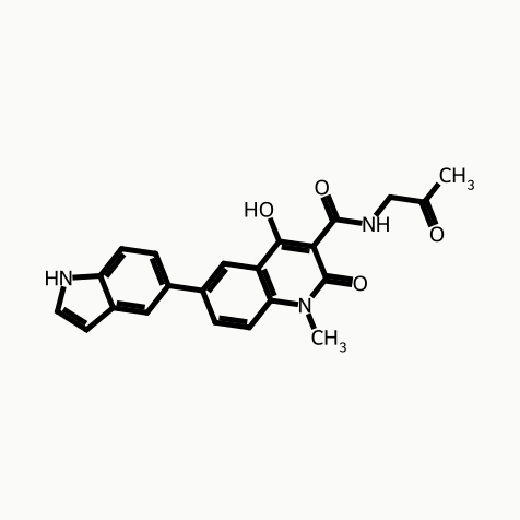 CC(=O)CNC(=O)c1c(O)c2cc(-c3ccc4[nH]ccc4c3)ccc2n(C)c1=O